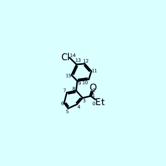 CCC(=O)c1ccccc1-c1cccc(Cl)c1